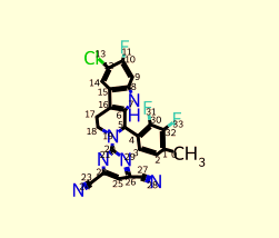 Cc1ccc(C2c3[nH]c4cc(F)c(Cl)cc4c3CCN2c2nc(C#N)cc(C#N)n2)c(F)c1F